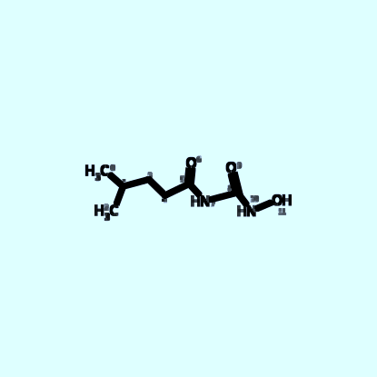 CC(C)CCC(=O)NC(=O)NO